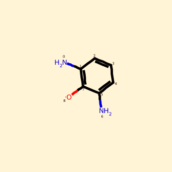 Nc1cccc(N)c1[O]